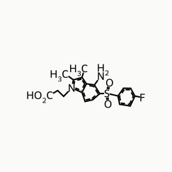 Cc1c(C)n(CCC(=O)O)c2ccc(S(=O)(=O)c3ccc(F)cc3)c(N)c12